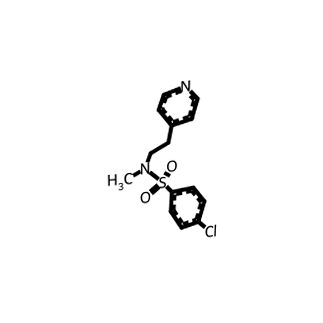 CN(CCc1ccncc1)S(=O)(=O)c1ccc(Cl)cc1